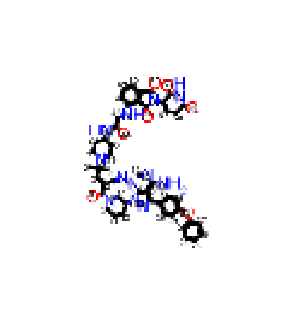 CC(C)(/C=C(\C#N)C(=O)N1CCCC(n2nc(-c3ccc(Oc4ccccc4)cc3)c3c(N)ncnc32)C1)N1CCC(NC(=O)CNc2cccc3c2C(=O)N(C2CCC(=O)NC2=O)C3=O)CC1